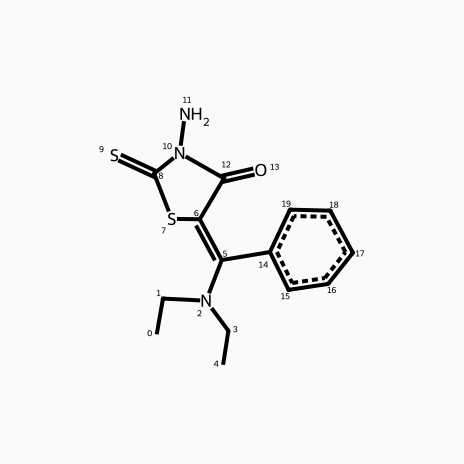 CCN(CC)C(=C1SC(=S)N(N)C1=O)c1ccccc1